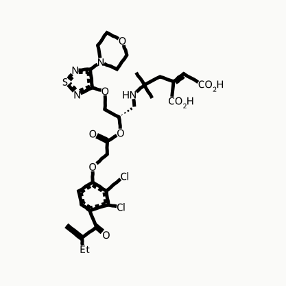 C=C(CC)C(=O)c1ccc(OCC(=O)O[C@@H](CNC(C)(C)C/C(=C/C(=O)O)C(=O)O)COc2nsnc2N2CCOCC2)c(Cl)c1Cl